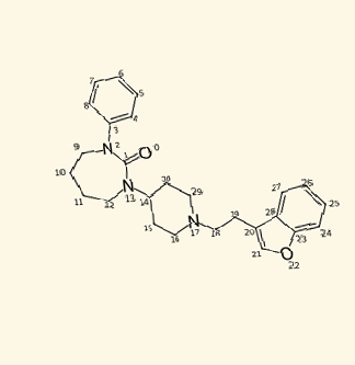 O=C1N(c2ccccc2)CCCCN1C1CCN(CCc2coc3ccccc23)CC1